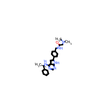 C[C@@H](Nc1ncnc2[nH]c(-c3ccc(CNC(=O)CN(C)C)cc3)cc12)c1ccccc1